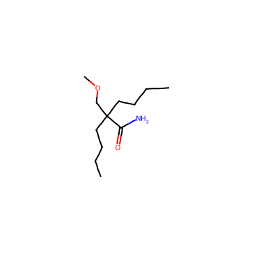 CCCCC(CCCC)(COC)C(N)=O